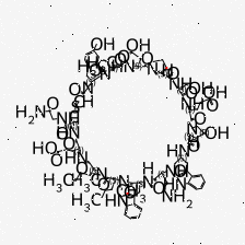 CCCC[C@H]1C(=O)N(C)[C@@H](CCCC)C(=O)N[C@@H](CCC(=O)O)C(=O)N[C@H](C(=O)NCC(N)=O)CSCC(=O)N[C@@H](Cc2ccc(O)cc2)C(=O)N(C)[C@@H](C)C(=O)N[C@@H](CC(=O)O)C(=O)N2CCC[C@H]2C(=O)N[C@@H](CO)C(=O)N[C@@H](CCC(=O)O)C(=O)N2C[C@H](O)C[C@H]2C(=O)N[C@@H](Cc2c[nH]c3ccccc23)C(=O)N[C@@H](CCN)C(=O)N[C@@H](Cc2c[nH]c3ccccc23)C(=O)N1C